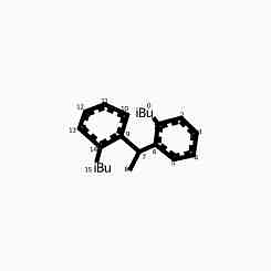 CCC(C)c1ccccc1C(C)c1ccccc1C(C)CC